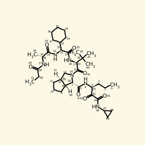 CCC[C@H](NC(=O)[C@@H]1[C@H]2CCC[C@H]2CN1C(=O)[C@@H](NC(=O)[C@@H](NC(=O)[C@@H](C)NC(=O)CC)C1CCCCC1)C(C)(C)C)C(=O)C(=O)NC1CC1